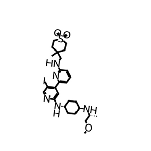 COC[C@@H](C)N[C@H]1CC[C@H](Nc2cc(-c3cccc(NCC4(C)CCS(=O)(=O)CC4)n3)c(I)cn2)CC1